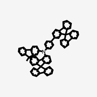 CC1(C)c2ccccc2-c2ccc(N(c3ccc(-c4ccc5c(c4)C4(c6ccccc6-c6ccccc64)c4ccccc4-5)cc3)c3cccc4c3-c3ccccc3C43c4ccccc4-c4ccccc43)cc21